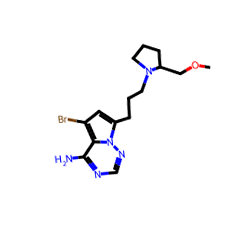 COCC1CCCN1CCCc1cc(Br)c2c(N)ncnn12